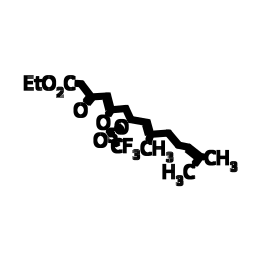 CCOC(=O)CC(=O)/C=C(/CC/C=C(\C)CCC=C(C)C)OS(=O)(=O)C(F)(F)F